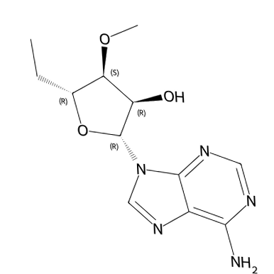 CC[C@H]1O[C@@H](n2cnc3c(N)ncnc32)[C@H](O)[C@@H]1OC